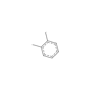 [CH2]c1ccccc1[CH2]